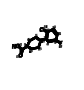 O=C(O)N1CCN(c2cc(F)ccc2Cl)CC1